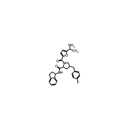 CC(N)c1ccc(C(=O)N2CC(Cc3ccc(F)cc3)CC2C(=O)NC2CCc3ccccc32)o1